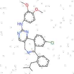 COc1ccc(Nc2ncc3c(n2)-c2ccc(Cl)cc2C(c2ccccc2CC(C)C)=NC3)cc1OC